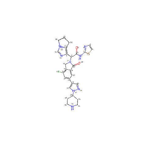 O=C(Nc1nccs1)C(c1ncn2c1CCC2)N1Cc2c(F)cc(-c3cnn(C4CCNCC4)c3)cc2C1=O